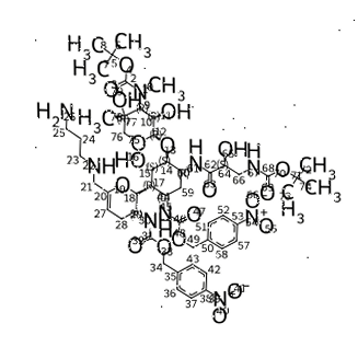 CN(C(=O)OC(C)(C)C)[C@@H]1[C@@H](O)[C@@H](O[C@@H]2[C@@H](O)[C@H](C3OC(CNCCCN)=CC[C@H]3NC(=O)OCc3ccc([N+](=O)[O-])cc3)[C@@H](NC(=O)OCc3ccc([N+](=O)[O-])cc3)C[C@H]2NC(=O)[C@@H](O)CNC(=O)OC(C)(C)C)OC[C@]1(C)O